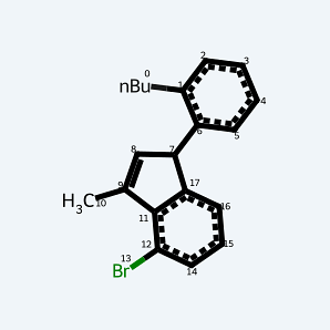 CCCCc1ccccc1C1C=C(C)c2c(Br)cccc21